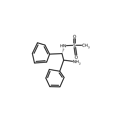 CS(=O)(=O)N[C@@H](c1ccccc1)C(N)c1ccccc1